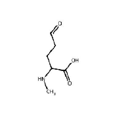 CNC(CCC=O)C(=O)O